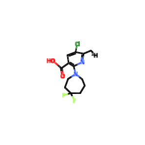 [2H]Cc1nc(N2CCCC(F)(F)CC2)c(C(=O)O)cc1Cl